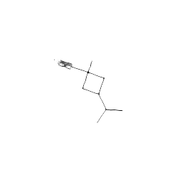 CC(C)C1CC(F)(C#N)C1